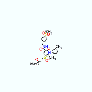 COC(=O)CC[S+]([O-])c1cc(C(=O)NCc2ccc(S(C)(=O)=O)cc2)c(=O)n(-c2cccc(C(F)(F)F)c2)c1C